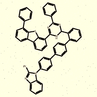 CC(C)c1nc2ccccc2n1-c1ccc(-c2ccc(-c3ccccc3C3N=C(c4ccccc4)N=C(c4cccc5c4sc4c(-c6ccccc6)cccc45)N3)cc2)cc1